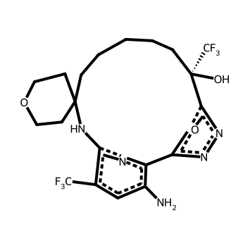 Nc1cc(C(F)(F)F)c2nc1-c1nnc(o1)[C@@](O)(C(F)(F)F)CCCCCC1(CCOCC1)N2